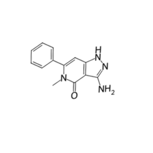 Cn1c(-c2ccccc2)cc2[nH]nc(N)c2c1=O